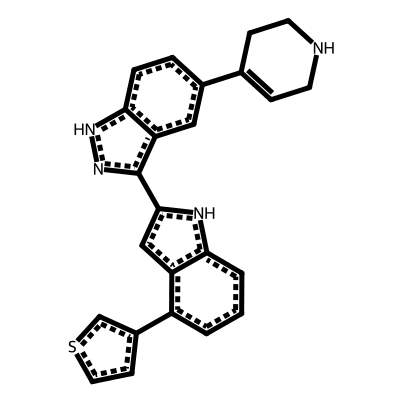 C1=C(c2ccc3[nH]nc(-c4cc5c(-c6ccsc6)cccc5[nH]4)c3c2)CCNC1